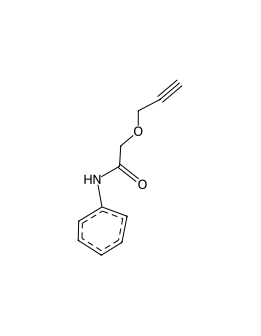 C#CCOCC(=O)Nc1ccccc1